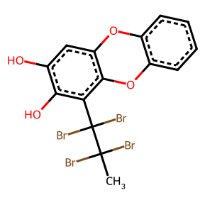 CC(Br)(Br)C(Br)(Br)c1c(O)c(O)cc2c1Oc1ccccc1O2